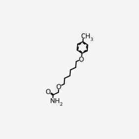 Cc1ccc(OCCCCCCOCC(N)=O)cc1